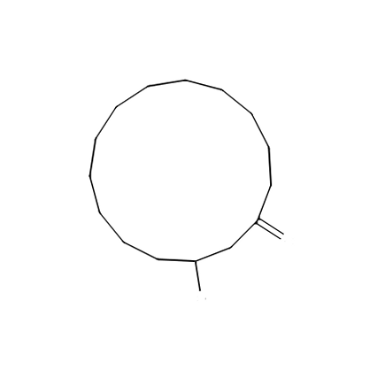 O=C1CCCCCCCCCCCCC(O)C1